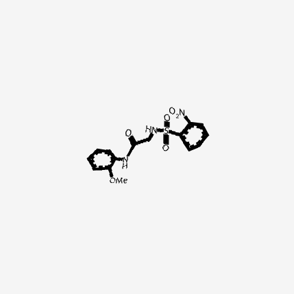 COc1ccccc1NC(=O)CNS(=O)(=O)c1ccccc1[N+](=O)[O-]